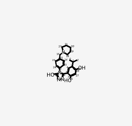 CC(C)c1cc(-c2nnc(O)n2-c2ccc(CN3CCCCC3)cc2)c(O)cc1O